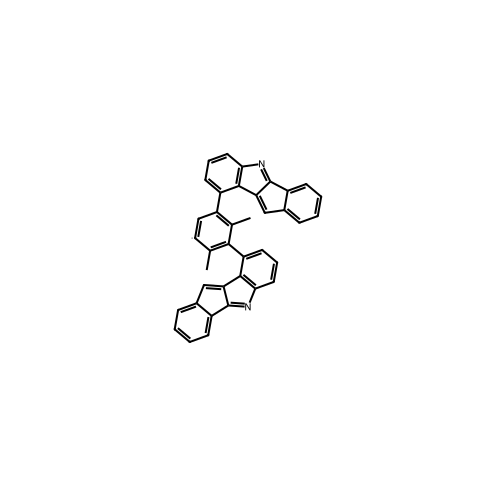 Cc1[c]cc(-c2cccc3c2C2=Cc4ccccc4C2=N3)c(C)c1-c1cccc2c1C1=Cc3ccccc3C1=N2